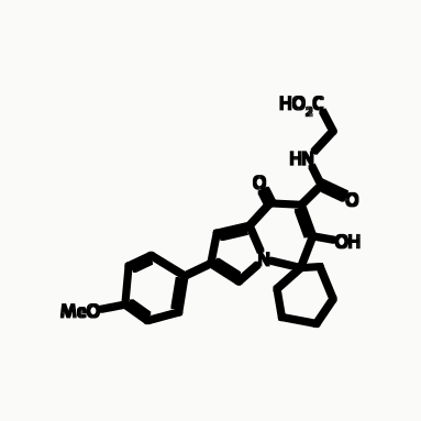 COc1ccc(-c2cc3n(c2)C2(CCCCC2)C(O)=C(C(=O)NCC(=O)O)C3=O)cc1